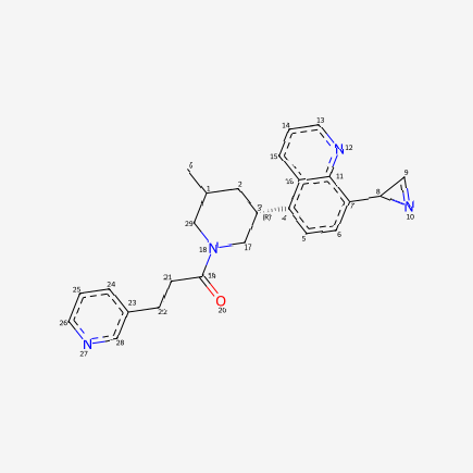 CC1C[C@H](c2ccc(C3C=N3)c3ncccc23)CN(C(=O)CCc2cccnc2)C1